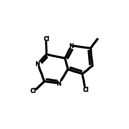 Cc1cc(Cl)c2nc(Cl)nc(Cl)c2n1